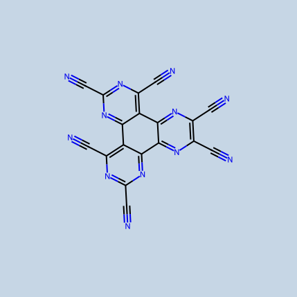 N#Cc1nc(C#N)c2c(n1)c1nc(C#N)c(C#N)nc1c1c(C#N)nc(C#N)nc21